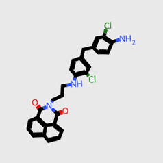 Nc1ccc(Cc2ccc(NCCCN3C(=O)c4cccc5cccc(c45)C3=O)c(Cl)c2)cc1Cl